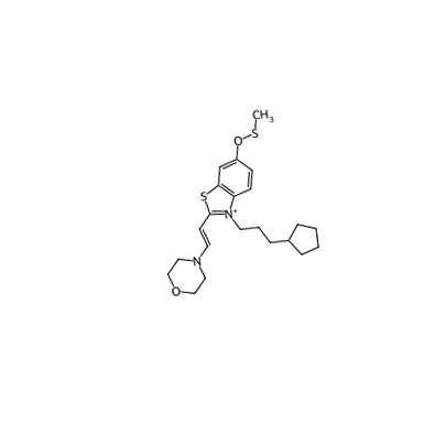 CSOc1ccc2c(c1)sc(/C=C/N1CCOCC1)[n+]2CCCC1CCCC1